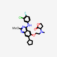 COc1nc(Nc2ccc(F)c(Cl)c2)c2cc(OCCN(C)C3CCOC3=O)c(C3CCCC3)cc2n1